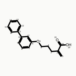 C=C(CCCOc1cccc(-c2ccccc2)c1)C(=O)O